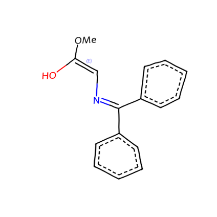 CO/C(O)=C/N=C(c1ccccc1)c1ccccc1